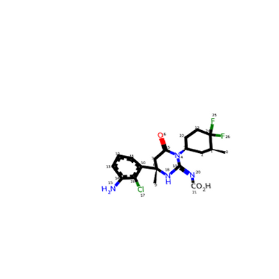 C[C@H]1C[C@@H](N2C(=O)C[C@@](C)(c3cccc(N)c3Cl)N/C2=N\C(=O)O)CCC1(F)F